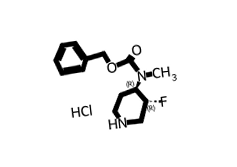 CN(C(=O)OCc1ccccc1)[C@@H]1CCNC[C@H]1F.Cl